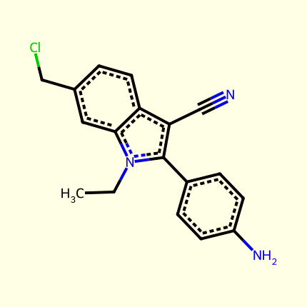 CCn1c(-c2ccc(N)cc2)c(C#N)c2ccc(CCl)cc21